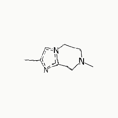 Cc1cn2c(n1)CN(C)CC2